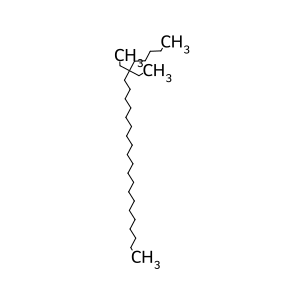 CCCCCCCCCCCCCCCCCCCCC(CC)(CC)CCCCC